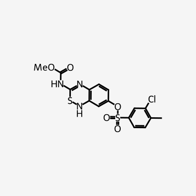 COC(=O)NC1=Nc2ccc(OS(=O)(=O)c3ccc(C)c(Cl)c3)cc2NS1